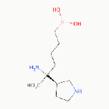 NC(CCCCB(O)O)(C(=O)O)[C@@H]1CCNC1